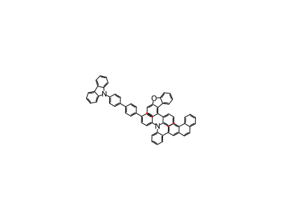 c1ccc(N(c2ccc(-c3ccc(-c4ccc(-n5c6ccccc6c6ccccc65)cc4)cc3)cc2)c2ccccc2-c2cccc3oc4ccccc4c23)c(-c2ccc3c(ccc4ccccc43)c2)c1